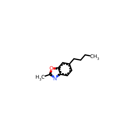 CCCCc1ccc2nc(C)oc2c1